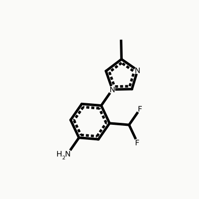 Cc1cn(-c2ccc(N)cc2C(F)F)cn1